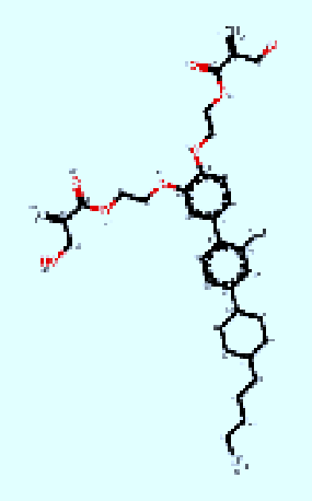 C=C(CO)C(=O)OCCOc1ccc(-c2ccc(C3CCC(CCCCC(F)(F)F)CC3)cc2CC)cc1OCCOC(=O)C(=C)CO